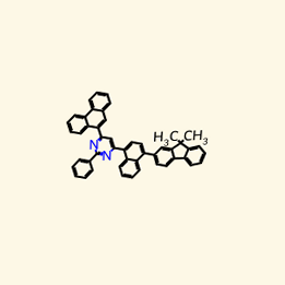 CC1(C)c2ccccc2-c2ccc(-c3ccc(-c4cc(-c5cc6ccccc6c6ccccc56)nc(-c5ccccc5)n4)c4ccccc34)cc21